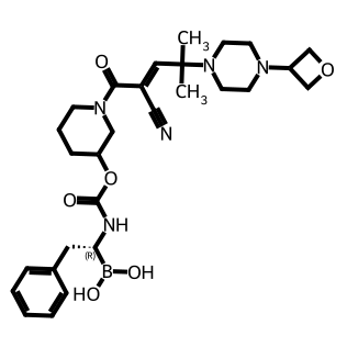 CC(C)(C=C(C#N)C(=O)N1CCCC(OC(=O)N[C@@H](Cc2ccccc2)B(O)O)C1)N1CCN(C2COC2)CC1